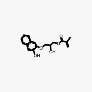 C=C(C)C(=O)OCC(O)COc1cc2ccccc2cc1O